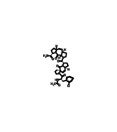 CC(=O)N[C@@H](Cc1ccccc1Cl)C(=O)N1CCC[C@]12C=C[C@@H]1CC[C@@H](C(=O)N3CC[C@@H]4C=C[C@H]5CC[C@@H](C(N)=O)N5C(=O)[C@H]43)N1C2=O